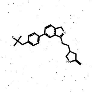 C=C1CC(CCC2=NCc3ccc(-c4ccc(CC(C)(C)F)cc4)cc32)CN1